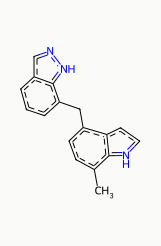 Cc1ccc(Cc2cccc3cn[nH]c23)c2cc[nH]c12